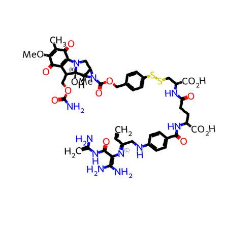 C=C/C(CNc1ccc(C(=O)NC(CCC(=O)NC(CSSc2ccc(COC(=O)N3C4CN5C6=C(C(=O)C(OC)=C(C)C6=O)C(COC(N)=O)[C@@]5(OC)[C@H]43)cc2)C(=O)O)C(=O)O)cc1)=N\C(C(=O)NC(=C)N)=C(N)N